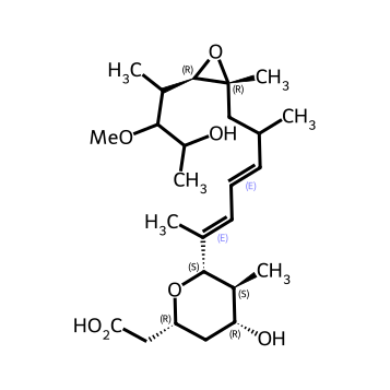 COC(C(C)O)C(C)[C@H]1O[C@]1(C)CC(C)/C=C/C=C(\C)[C@H]1O[C@@H](CC(=O)O)C[C@@H](O)[C@@H]1C